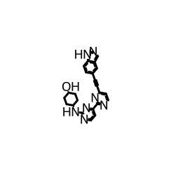 O[C@H]1CC[C@@H](Nc2nccc(-c3nccc(C#Cc4ccc5[nH]ncc5c4)n3)n2)CC1